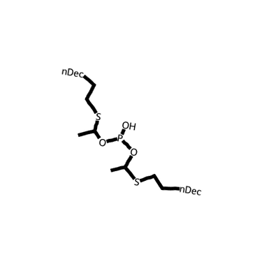 CCCCCCCCCCCCSC(C)OP(O)OC(C)SCCCCCCCCCCCC